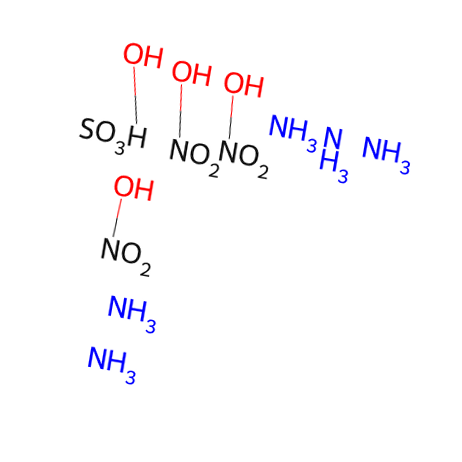 N.N.N.N.N.O=S(=O)(O)O.O=[N+]([O-])O.O=[N+]([O-])O.O=[N+]([O-])O